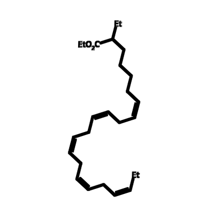 CC/C=C\C/C=C\C/C=C\C/C=C\C/C=C\CCCCC(CC)C(=O)OCC